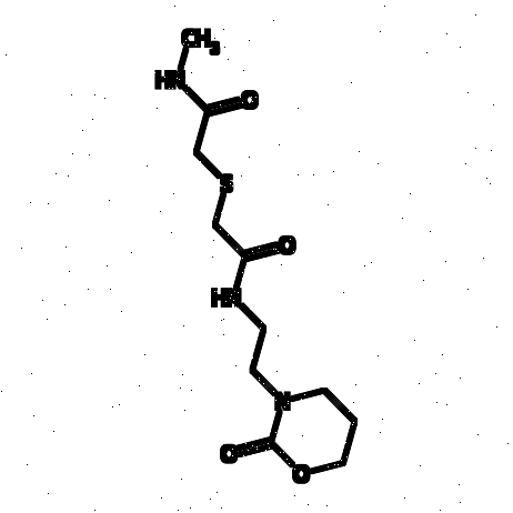 CNC(=O)CSCC(=O)NCCN1CCCOC1=O